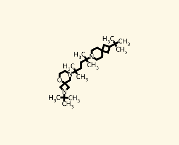 CC(C)(C)C1CC2(CCN(C(C)(C)CCC(C)(C)N3CCOC4(CN(C(C)(C)C)C4)C3)CC2)C1